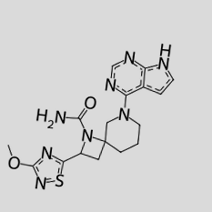 COc1nsc(C2CC3(CCCN(c4ncnc5[nH]ccc45)C3)N2C(N)=O)n1